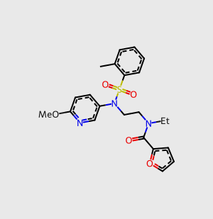 CCN(CCN(c1ccc(OC)nc1)S(=O)(=O)c1ccccc1C)C(=O)c1ccco1